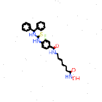 O=C(CCCCCCNC(=O)c1ccc(NC(=S)NC(c2ccccc2)c2ccccc2)c(F)c1)NO